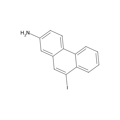 Nc1ccc2c(c1)cc(I)c1ccccc12